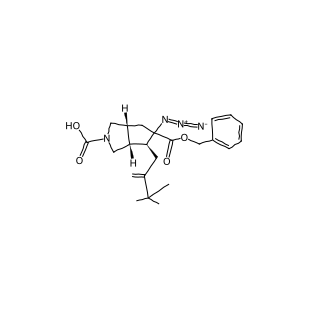 C=C(C[C@H]1[C@@H]2CN(C(=O)O)C[C@@H]2CC1(N=[N+]=[N-])C(=O)OCc1ccccc1)C(C)(C)C